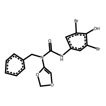 O=C(Nc1cc(Br)c(O)c(Br)c1)N(Cc1ccccc1)C1=COCO1